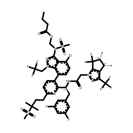 CCCC(=O)OCN(c1nn(CC(F)(F)F)c2c(-c3ccc(CCC(C)(C)S(C)(=O)=O)nc3[C@H](Cc3cc(F)cc(F)c3)NC(=O)Cn3nc(C(F)(F)F)c4c3C(F)(F)[C@H](C)[C@@H]4C)ccc(Cl)c12)S(C)(=O)=O